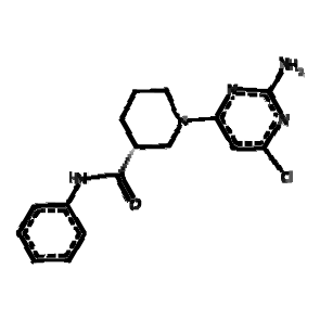 Nc1nc(Cl)cc(N2CCC[C@@H](C(=O)Nc3ccccc3)C2)n1